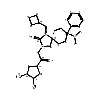 CN(C)[C@]1(c2ccccc2)CC[C@]2(CC1)CN(CC(=O)C1C[C@@H](O)[C@@H](O)C1)C(=O)N2CC1CCC1